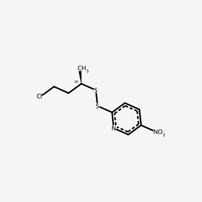 C[C@H](CCCl)SSc1ccc([N+](=O)[O-])cn1